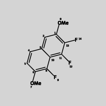 COc1cc2ccc(OC)c(F)c2c(F)c1F